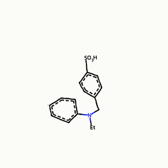 CCN(Cc1ccc(S(=O)(=O)O)cc1)c1cc[c]cc1